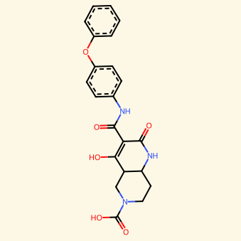 O=C(Nc1ccc(Oc2ccccc2)cc1)C1=C(O)C2CN(C(=O)O)CCC2NC1=O